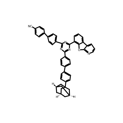 N#Cc1ccc(-c2ccc(-c3nc(-c4ccc(-c5ccc(C67C[C@H]8C[C@H](C6)C[C@@H](C7)C8)cc5)cc4)nc(-c4cccc5c4oc4ncccc45)n3)cc2)cc1